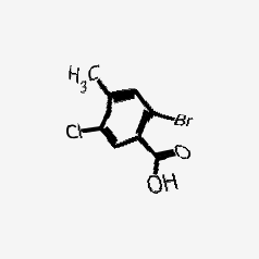 Cc1cc(Br)c(C(=O)O)cc1Cl